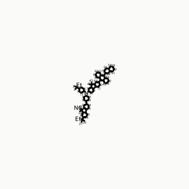 CCC(C)(C)c1ccc(N(c2ccc(-c3ccc4c(c3)C(C)(C#N)c3cc(C(C)(C)CC)ccc3-4)cc2)c2ccc3c(c2)C(C)(C)c2cc(-c4c5ccccc5c(-c5ccc6ccccc6c5)c5ccccc45)ccc2-3)cc1